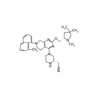 Cc1cccc2cccc(N3CCc4c(nc(OC[C@@H]5CC(C)(C)CN5C)nc4N4CCN[C@@H](CC#N)C4)C3)c12